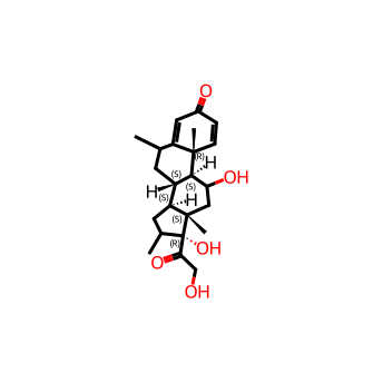 CC1C[C@@H]2[C@H](C(O)C[C@@]3(C)[C@H]2CC(C)[C@]3(O)C(=O)CO)[C@@]2(C)C=CC(=O)C=C12